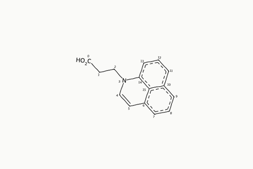 O=C(O)CCN1C=Cc2cccc3cccc1c23